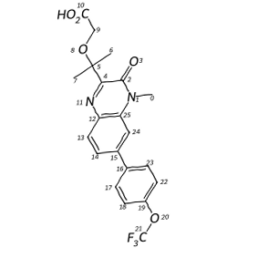 Cn1c(=O)c(C(C)(C)OCC(=O)O)nc2ccc(-c3ccc(OC(F)(F)F)cc3)cc21